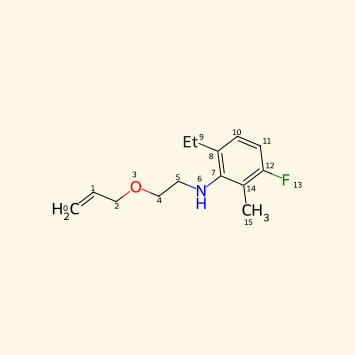 C=CCOCCNc1c(CC)ccc(F)c1C